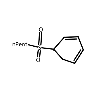 CCCCCS(=O)(=O)[C]1C=CC=CC1